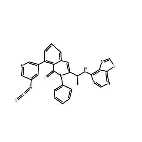 C[C@H](Nc1ncnc2scnc12)c1cc2cccc(-c3cncc(N=C=S)c3)c2c(=O)n1-c1ccccc1